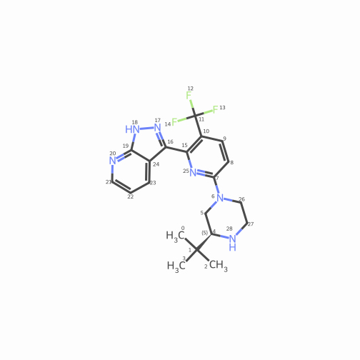 CC(C)(C)[C@H]1CN(c2ccc(C(F)(F)F)c(-c3n[nH]c4ncccc34)n2)CCN1